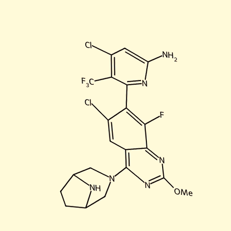 COc1nc(N2CC3CCC(C2)N3)c2cc(Cl)c(-c3nc(N)cc(Cl)c3C(F)(F)F)c(F)c2n1